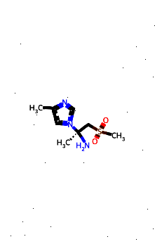 Cc1cn([C@](C)(N)CS(C)(=O)=O)cn1